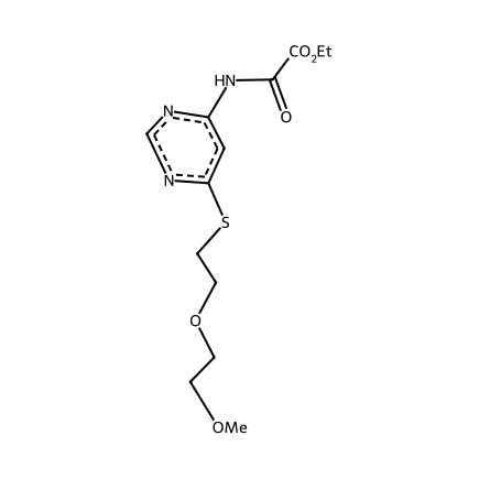 CCOC(=O)C(=O)Nc1cc(SCCOCCOC)ncn1